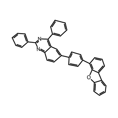 c1ccc(-c2nc(-c3ccccc3)c3cc(-c4ccc(-c5cccc6c5oc5ccccc56)cc4)ccc3n2)cc1